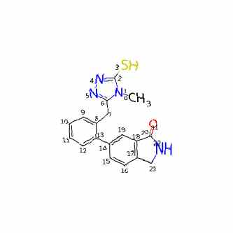 Cn1c(S)nnc1Cc1ccccc1-c1ccc2c(c1)C(=O)NC2